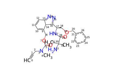 C#CCN(C)C(=O)OCC1=CC=CC2=NN=C([C@@H](COCc3ccccc3)NC(=O)C(C)(C)N)C12